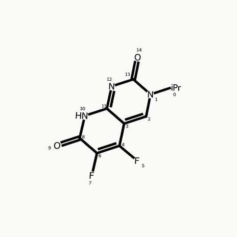 CC(C)n1cc2c(F)c(F)c(=O)[nH]c2nc1=O